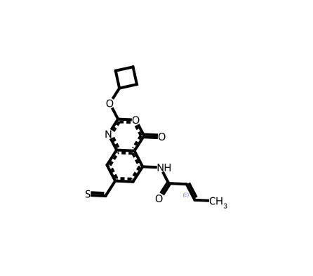 C/C=C/C(=O)Nc1cc(C=S)cc2nc(OC3CCC3)oc(=O)c12